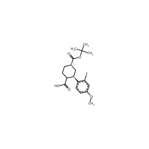 COc1ccc([C@@H]2CN(C(=O)OC(C)(C)C)CCC2C(=O)O)c(F)c1